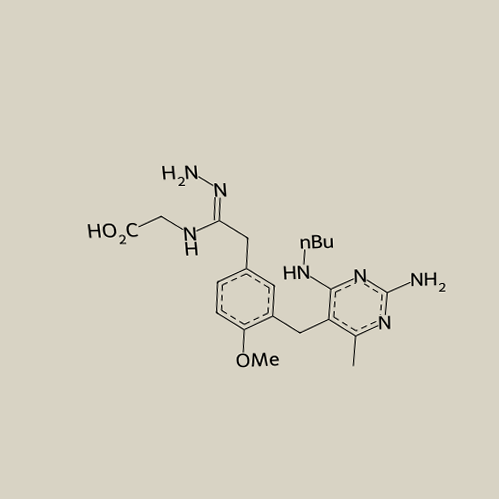 CCCCNc1nc(N)nc(C)c1Cc1cc(C/C(=N/N)NCC(=O)O)ccc1OC